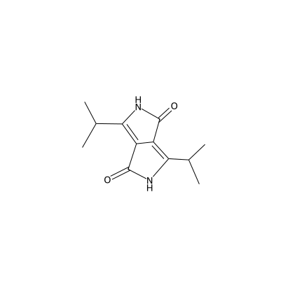 CC(C)C1=C2C(=O)NC(C(C)C)=C2C(=O)N1